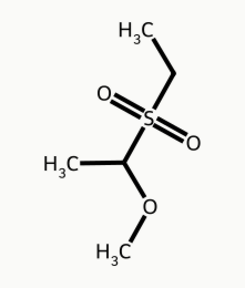 CCS(=O)(=O)C(C)OC